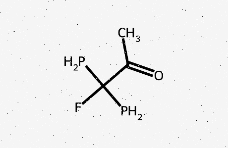 CC(=O)C(F)(P)P